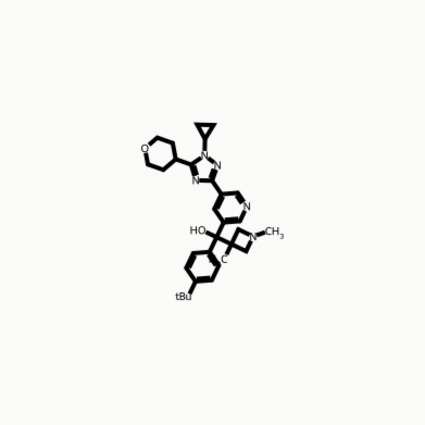 CN1CC(C)(C(O)(c2ccc(C(C)(C)C)cc2)c2cncc(-c3nc(C4CCOCC4)n(C4CC4)n3)c2)C1